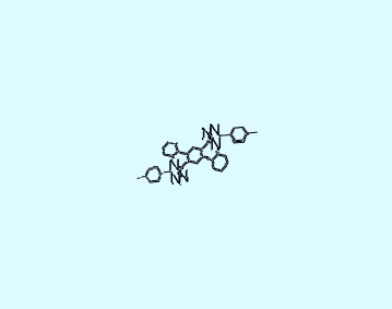 Cc1ccc(-c2nnc3c4cc5c6ccccc6n6c(-c7ccc(C)cc7)nnc6c5cc4c4ccccc4n23)cc1